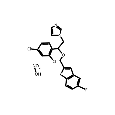 Fc1ccc2sc(COC(Cn3ccnc3)c3ccc(Cl)cc3Cl)cc2c1.O=[N+]([O-])O